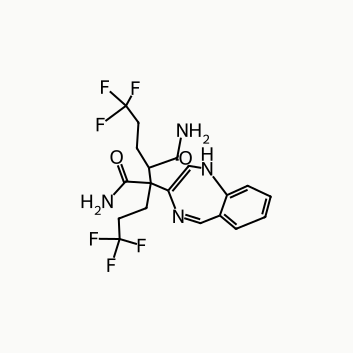 NC(=O)C(CCC(F)(F)F)C(CCC(F)(F)F)(C(N)=O)C1=CNc2ccccc2C=N1